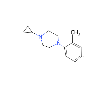 Cc1c[c]ccc1N1CCN(C2CC2)CC1